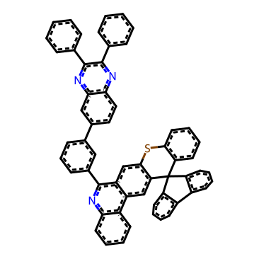 c1ccc(-c2nc3ccc(-c4cccc(-c5nc6ccccc6c6cc7c(cc56)Sc5ccccc5C75c6ccccc6-c6ccccc65)c4)cc3nc2-c2ccccc2)cc1